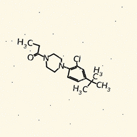 CCC(=O)N1CCN(c2ccc(C(C)(C)C)cc2Cl)CC1